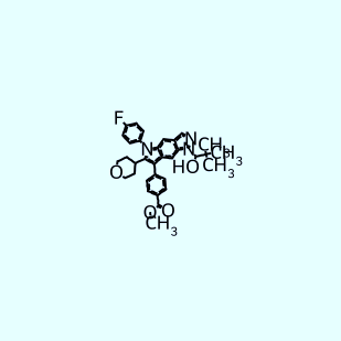 COC(=O)c1ccc(-c2c(C3CCOCC3)n(-c3ccc(F)cc3)c3cc4cnn(C(O)C(C)(C)C)c4cc23)cc1